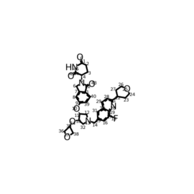 O=C1CC[C@@H](N2Cc3cc(O[C@@H]4CN(Cc5cc(F)c6nc(C7CCOCC7)ccc6c5)C[C@H]4OC4COC4)ccc3C2=O)C(=O)N1